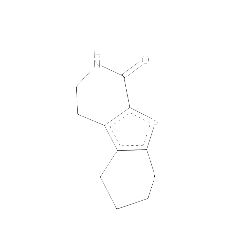 O=C1NCCc2c1sc1c2CCCC1